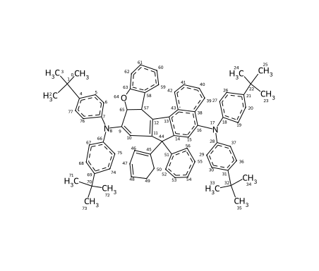 CC(C)(C)c1ccc(N(C2=CC3=C(c4c(cc(N(c5ccc(C(C)(C)C)cc5)c5ccc(C(C)(C)C)cc5)c5ccccc45)C3(C3=CC=CCC3)c3ccccc3)C3c4ccccc4OC23)c2ccc(C(C)(C)C)cc2)cc1